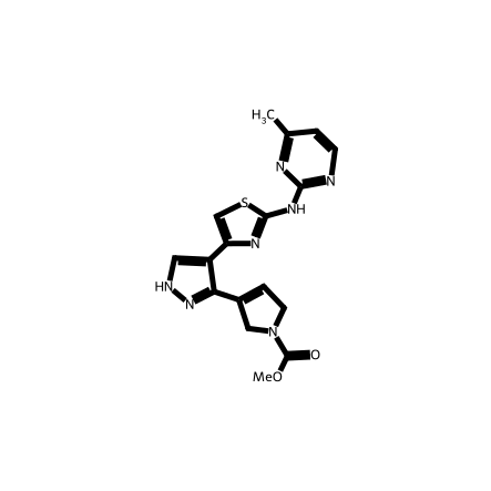 COC(=O)N1CC=C(c2n[nH]cc2-c2csc(Nc3nccc(C)n3)n2)C1